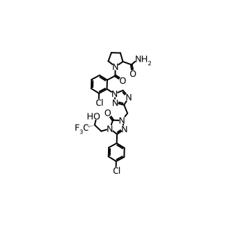 NC(=O)C1CCCN1C(=O)c1cccc(Cl)c1-n1cnc(Cn2nc(-c3ccc(Cl)cc3)n(C[C@@H](O)C(F)(F)F)c2=O)n1